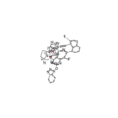 CC(C)[Si](C#Cc1c(F)ccc2cccc(-c3nc4c5c(nc(On6nnc7ccccc76)nc5c3F)N3C[C@H]5CC[C@@H]([C@H]3[C@H](C)O4)N5C(=O)OC(C)(C)C)c12)(C(C)C)C(C)C